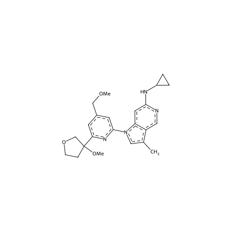 COCc1cc(-n2cc(C)c3cnc(NC4CC4)cc32)nc(C2(OC)CCOC2)c1